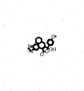 COc1ccc(C2(O)OC(=O)C(c3ccc4nsnc4c3)=C2CC2CCCCC2)cc1